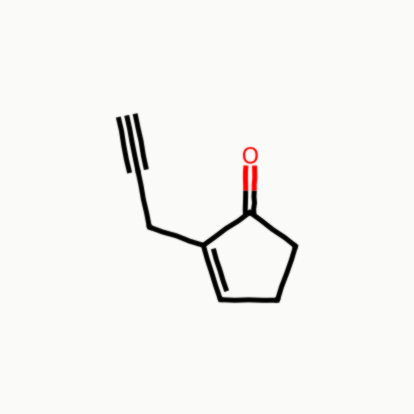 C#CCC1=CCCC1=O